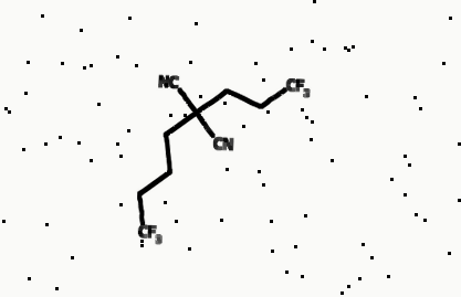 N#CC(C#N)(CCCC(F)(F)F)CCC(F)(F)F